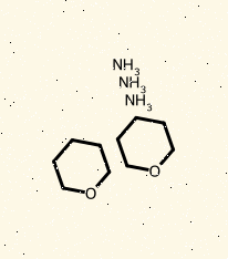 C1CCOCC1.C1CCOCC1.N.N.N